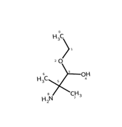 CCOC(O)C(C)(C)N